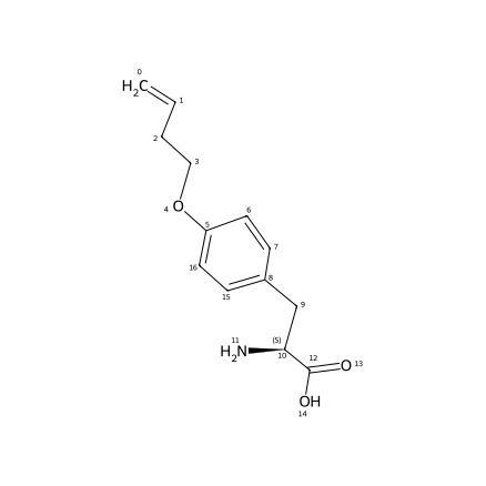 C=CCCOc1ccc(C[C@H](N)C(=O)O)cc1